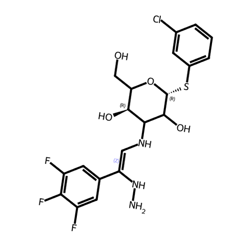 NN/C(=C\NC1C(O)[C@@H](Sc2cccc(Cl)c2)OC(CO)[C@@H]1O)c1cc(F)c(F)c(F)c1